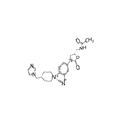 CC(=O)NC[C@H]1CN(c2ccc([N+]3(C#N)CCC(Cn4ccnc4)CC3)c(F)c2)C(=O)O1